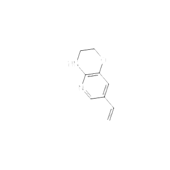 C=Cc1cnc2c(c1)OCCN2